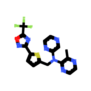 Cc1nccnc1N(Cc1ccc(-c2noc(C(F)(F)F)n2)s1)c1cnccn1